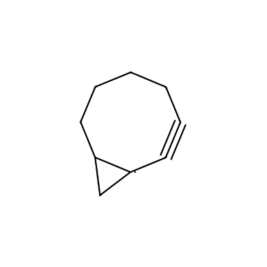 C1#C[C]2CC2CCCC1